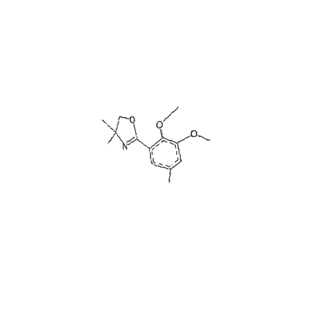 COc1cc(C)cc(C2=NC(C)(C)CO2)c1OC